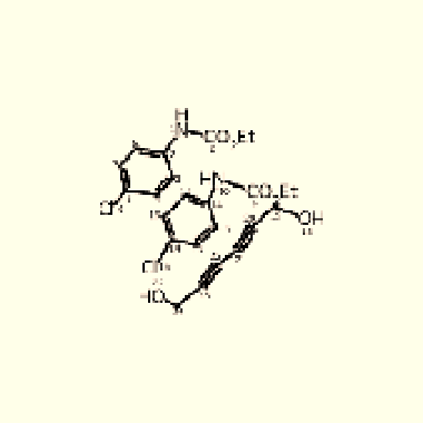 CCOC(=O)Nc1ccc(Cl)cc1.CCOC(=O)Nc1ccc(Cl)cc1.OCC#CC#CCO